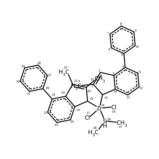 CC1=Cc2c(-c3ccccc3)cccc2[CH]1[Zr]([Cl])([Cl])([CH]1C(C)=C(C)c2c(-c3ccccc3)cccc21)[SiH](C)C